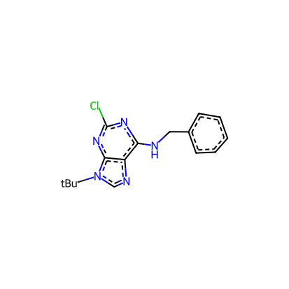 CC(C)(C)n1cnc2c(NCc3ccccc3)nc(Cl)nc21